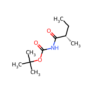 CC[C@H](C)C(=O)NC(=O)OC(C)(C)C